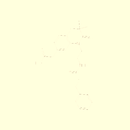 CC1(C)Oc2ccc(CC(=O)O)cc2N(CCNC(=O)OCc2ccccc2)C1=O